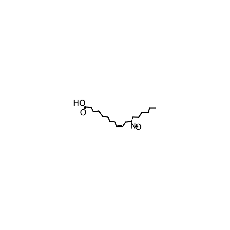 CCCCCC[C@H](C/C=C\CCCCCCCC(=O)O)N=O